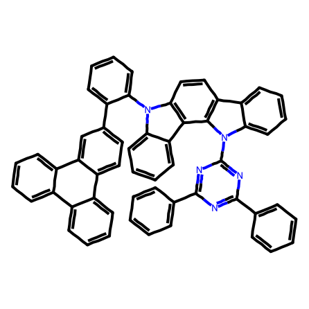 c1ccc(-c2nc(-c3ccccc3)nc(-n3c4ccccc4c4ccc5c(c6ccccc6n5-c5ccccc5-c5ccc6c7ccccc7c7ccccc7c6c5)c43)n2)cc1